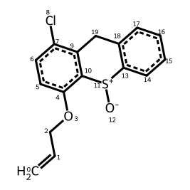 C=CCOc1ccc(Cl)c2c1[S+]([O-])c1ccccc1C2